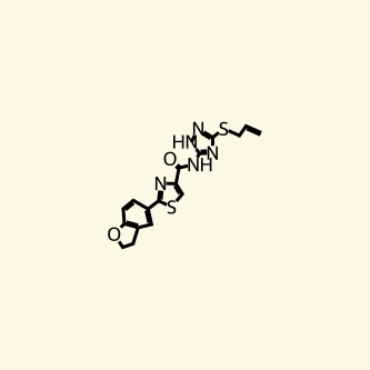 C=CCSc1n[nH]c(NC(=O)c2csc(-c3ccc4c(c3)CCO4)n2)n1